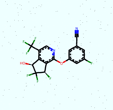 N#Cc1cc(F)cc(Oc2ncc(C(F)(F)F)c3c2[C@@H](F)C(F)(F)[C@H]3O)c1